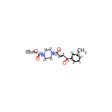 Cc1cccc(C(=O)/C=C/C(=O)N2CCN(C(=O)OC(C)(C)C)CC2)c1